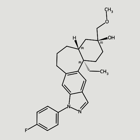 CC[C@@]12CC[C@@](O)(COC)C[C@H]1CCCc1cc3c(cnn3-c3ccc(F)cc3)cc12